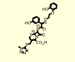 Cn1nnnc1SCC1=C(C(=O)O)N2C(=O)C(NC(=O)/C(=N/OCCOc3ccccc3O)c3cccc(O)c3)[C@H]2SC1